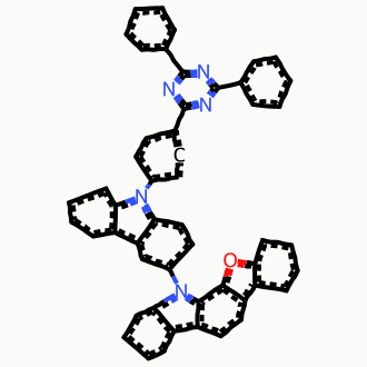 c1ccc(-c2nc(-c3ccccc3)nc(-c3ccc(-n4c5ccccc5c5cc(-n6c7ccccc7c7ccc8c9ccccc9oc8c76)ccc54)cc3)n2)cc1